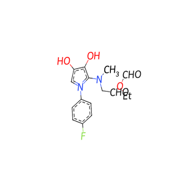 CCOC=O.CN(CC=O)c1c(O)c(O)cn1-c1ccc(F)cc1